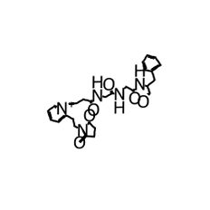 O=CC(Cc1ccccc1)NC(=O)CNC(=O)CNC(=O)CCC[n+]1ccccc1CCN1C(=O)CCC1=O